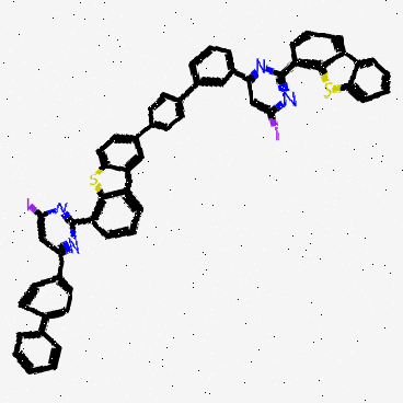 Ic1cc(-c2cccc(-c3ccc(-c4ccc5sc6c(-c7nc(I)cc(-c8ccc(-c9ccccc9)cc8)n7)cccc6c5c4)cc3)c2)nc(-c2cccc3c2sc2ccccc23)n1